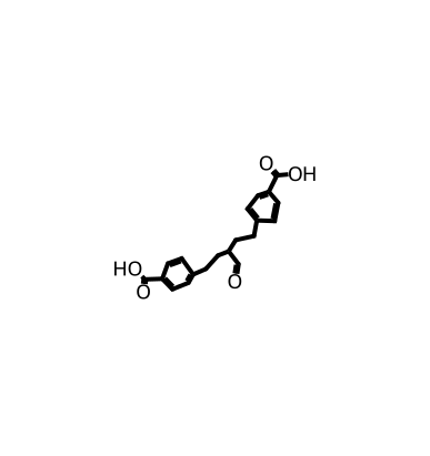 O=CC(CCc1ccc(C(=O)O)cc1)CCc1ccc(C(=O)O)cc1